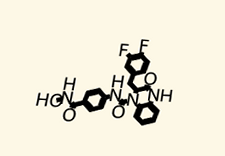 O=C(NO)c1ccc(NC(=O)N2c3ccccc3NC(=O)C2Cc2ccc(F)c(F)c2)cc1